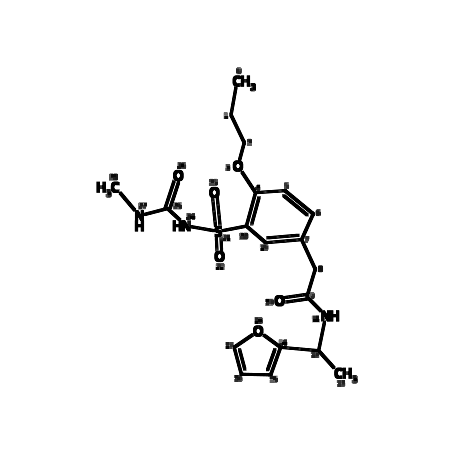 CCCOc1ccc(CC(=O)NC(C)c2ccco2)cc1S(=O)(=O)NC(=O)NC